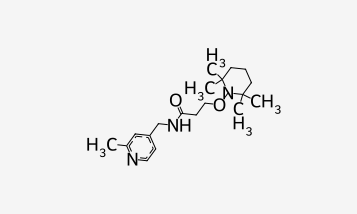 Cc1cc(CNC(=O)CCON2C(C)(C)CCCC2(C)C)ccn1